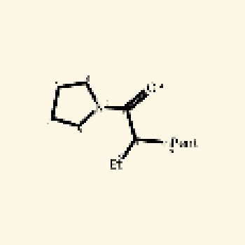 CCCCCC(CC)C(=O)N1CCCC1